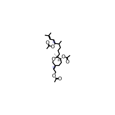 CC(=O)OC/C=C1\CC[C@@H](OC(C)=O)[C@](C)(CCCC(C)/C(=C/C=C(C)C)OC(C)=O)OC1